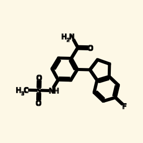 CS(=O)(=O)Nc1ccc(C(N)=O)c(C2CCc3cc(F)ccc32)c1